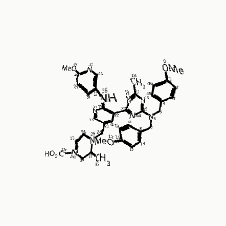 COc1ccc(CN(Cc2ccc(OC)cc2)c2nc(C)nc(-c3cc(CN4CCN(C(=O)O)CC4C)cnc3Nc3ccc(OC)nc3)n2)cc1